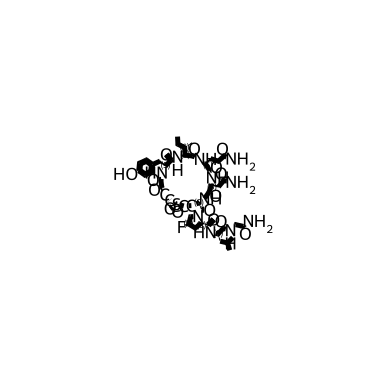 CC[C@H](C)[C@@H]1NC(=O)[C@H](Cc2ccc(O)cc2)NC(=O)C(=O)CCS(=O)(=O)CC[C@@H](C(=O)N2C[C@H](F)C[C@H]2C(=O)N[C@@H](CC(C)C)C(=O)NCC(N)=O)NC(=O)[C@H](CC(N)=O)NC(=O)[C@H](CCC(N)=O)NC1=O